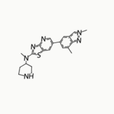 Cc1cc(-c2cnc3nc(N(C)C4CCNCC4)sc3c2)cc2cn(C)nc12